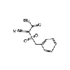 CC(C)(C)C(=O)C(=[N+]=[N-])S(=O)(=O)Cc1ccccc1